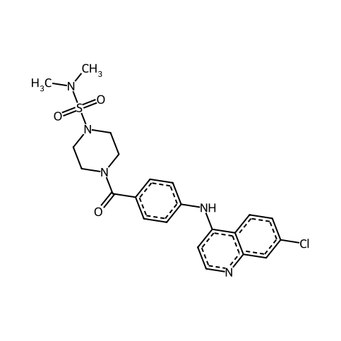 CN(C)S(=O)(=O)N1CCN(C(=O)c2ccc(Nc3ccnc4cc(Cl)ccc34)cc2)CC1